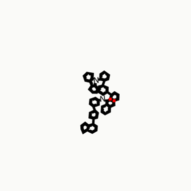 c1ccc(-c2cc(-c3ccccc3-n3c4ccccc4c4ccccc43)ccc2N(c2cccc(-c3ccc(-c4cccc5ccccc45)cc3)c2)c2cccc3ccccc23)cc1